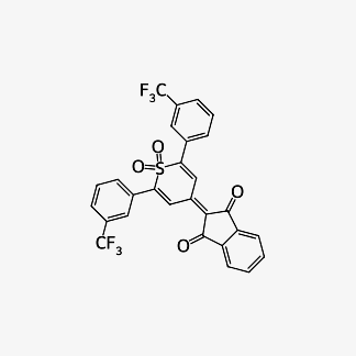 O=C1C(=C2C=C(c3cccc(C(F)(F)F)c3)S(=O)(=O)C(c3cccc(C(F)(F)F)c3)=C2)C(=O)c2ccccc21